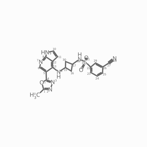 Cc1nnc(-c2cnc3[nH]ccc3c2NC2CC(NS(=O)(=O)c3cccc(C#N)c3)C2)o1